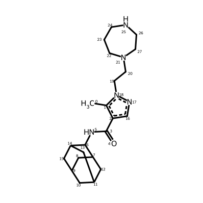 Cc1c(C(=O)NC2C3CC4CC(C3)CC2C4)cnn1CCN1CCCNCC1